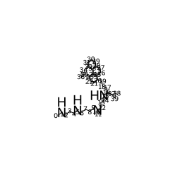 CNCCCNCCCCN(C)CCCNC(CCCc1ccc2c3c1ccc1cccc(c13)C[C@H]2C)=C1CC1